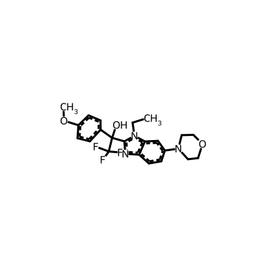 CCn1c(C(O)(c2ccc(OC)cc2)C(F)(F)F)nc2ccc(N3CCOCC3)cc21